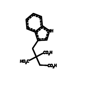 O=C(O)CC(Cc1c[nH]c2ccccc12)(C(=O)O)C(=O)O